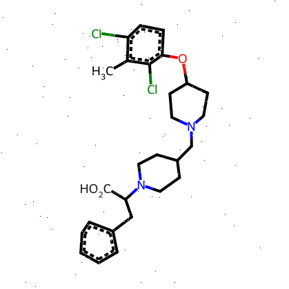 Cc1c(Cl)ccc(OC2CCN(CC3CCN(C(Cc4ccccc4)C(=O)O)CC3)CC2)c1Cl